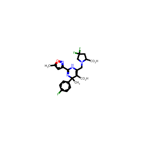 Cc1cc(C2=NC(C)(c3ccc(F)cc3)C(C(=O)O)=C(CN3CC(F)(F)CC3C(=O)O)N2)no1